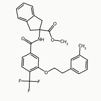 COC(=O)C1(NC(=O)c2ccc(C(F)(F)F)c(OCCc3cccc(C)c3)c2)Cc2ccccc2C1